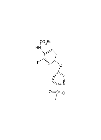 CCOC(=O)NC1=CCC(Oc2ccc(S(C)(=O)=O)nc2)C=C1I